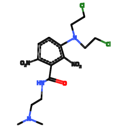 CN(C)CCNC(=O)c1c([N+](=O)[O-])ccc(N(CCCl)CCCl)c1[N+](=O)[O-]